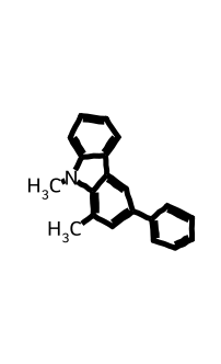 Cc1cc(-c2ccccc2)cc2c3ccccc3n(C)c12